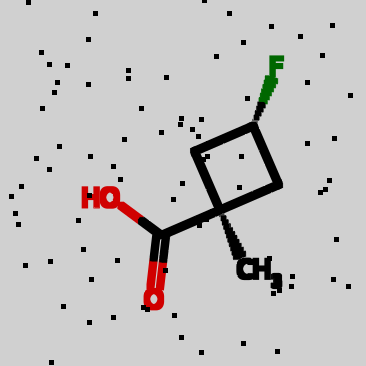 C[C@]1(C(=O)O)C[C@H](F)C1